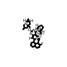 C#Cc1c(F)ccc2cccc(-c3nc4c5c(nc(OCC67CC(=C)CN6[C@H]6C[C@H]6C7)nc5c3F)N3C[C@H]5CC[C@H](N5)[C@H]3[C@H](C)O4)c12